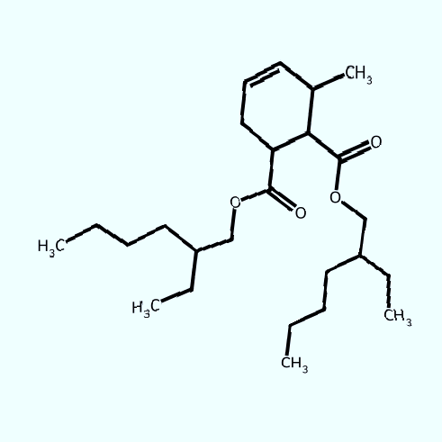 CCCCC(CC)COC(=O)C1CC=CC(C)C1C(=O)OCC(CC)CCCC